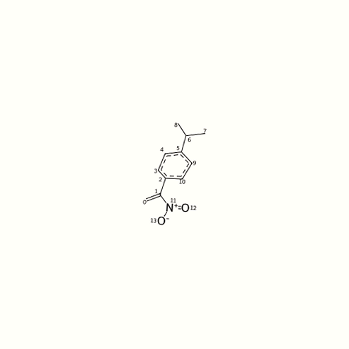 C=C(c1ccc(C(C)C)cc1)[N+](=O)[O-]